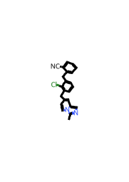 Cc1ncc2cc(Cc3cccc(Cc4ccccc4C#N)c3Cl)ccn12